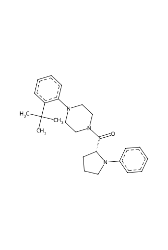 CC(C)(C)c1ccccc1N1CCN(C(=O)[C@H]2CCCN2c2ccccc2)CC1